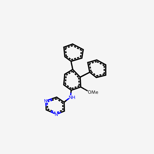 COc1c(Nc2cncnc2)ccc(-c2ccccc2)c1-c1ccccc1